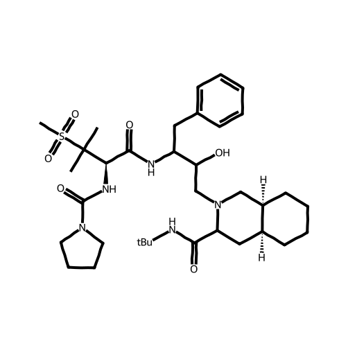 CC(C)(C)NC(=O)C1C[C@@H]2CCCC[C@@H]2CN1CC(O)C(Cc1ccccc1)NC(=O)[C@@H](NC(=O)N1CCCC1)C(C)(C)S(C)(=O)=O